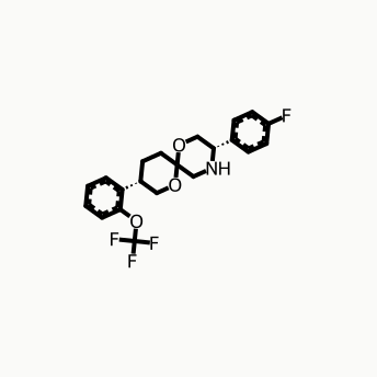 Fc1ccc([C@H]2COC3(CC[C@@H](c4ccccc4OC(F)(F)F)CO3)CN2)cc1